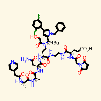 C[C@H](NC(=O)Cc1ccncc1)C(=O)N[C@H](C)C(=O)N[C@@H](CC(N)=O)C(=O)N[C@@H](CCN(C(=O)CO)[C@@H](c1cc(-c2cc(F)ccc2F)cn1Cc1ccccc1)C(C)(C)C)C(=O)NCCNC(=O)[C@@H](CCC(=O)O)NC(=O)CN1C(=O)C=CC1=O